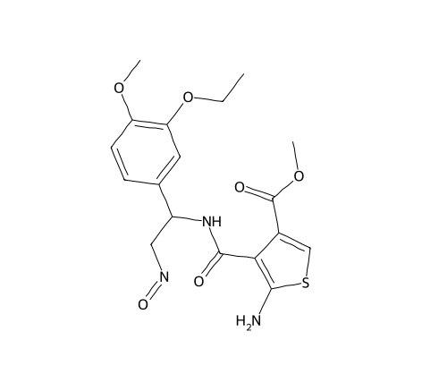 CCOc1cc(C(CN=O)NC(=O)c2c(C(=O)OC)csc2N)ccc1OC